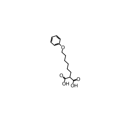 O=C(O)C(CCCCCCOc1ccccc1)C(=O)O